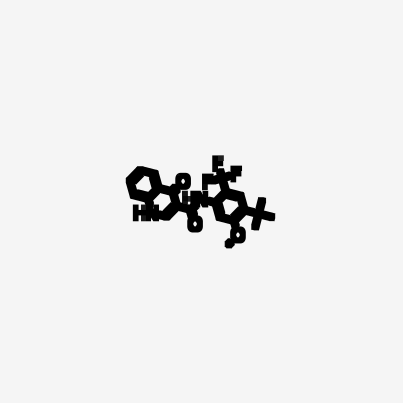 COc1cc(NC(=O)c2c[nH]c3ccccc3c2=O)c(C(F)(F)F)cc1C(C)(C)C